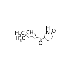 CC(C)(C)CCCCC(=O)C1CCCC(=O)NC1